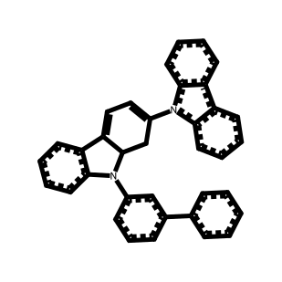 C1=C2c3ccccc3N(c3cccc(-c4ccccc4)c3)C2CC(n2c3ccccc3c3ccccc32)=C1